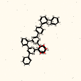 c1ccc(-c2cc(-c3ccccc3-c3nc(-c4ccccc4)nc(-c4ccc(-c5cccc6c5sc5ccccc56)cc4)n3)nc(-c3ccccc3)n2)cc1